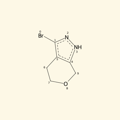 Brc1n[nH]c2c1CCOC2